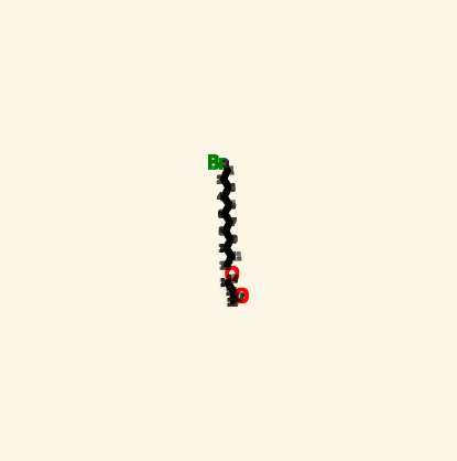 BrCCCCCCCCCCCCOCC1CO1